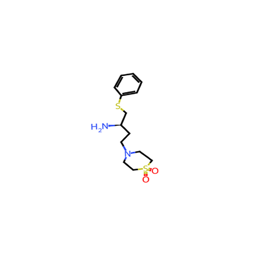 N[C@H](CCN1CCS(=O)(=O)CC1)CSc1ccccc1